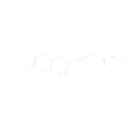 CCCCCOc1ccc2cc(C#CCNCO)ccc2c1